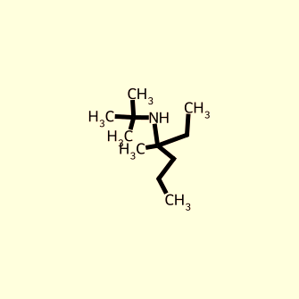 CCCC(C)(CC)NC(C)(C)C